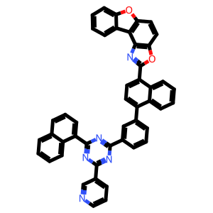 c1cncc(-c2nc(-c3cccc(-c4ccc(-c5nc6c(ccc7oc8ccccc8c76)o5)c5ccccc45)c3)nc(-c3cccc4ccccc34)n2)c1